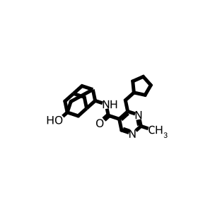 Cc1ncc(C(=O)NC2C3CC4CC2CC(O)(C4)C3)c(CC2CCCC2)n1